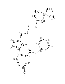 CC(C)(C)OC(=O)CCCSc1nnc(-c2ccc(Cl)cc2OCc2ccccc2)o1